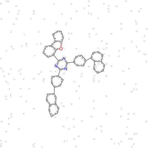 c1ccc2cc(-c3ccc(-c4nc(-c5ccc(-c6cccc7ccccc67)cc5)nc(-c5cccc6c5oc5ccccc56)n4)cc3)ccc2c1